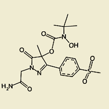 CC1(OC(=O)N(O)C(C)(C)C)C(=O)N(CC(N)=O)N=C1c1ccc(S(C)(=O)=O)cc1